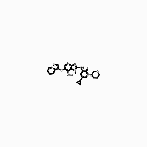 COc1c(Oc2cnn3ccccc23)cnc2nc(Nc3cc(C4CC4)cn([C@H]4CCCOC4)c3=O)n(C)c12